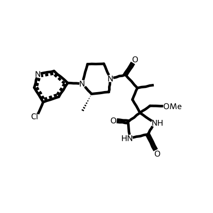 COCC1(CC(C)C(=O)N2CCN(c3cncc(Cl)c3)[C@@H](C)C2)NC(=O)NC1=O